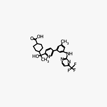 Cc1cc(Nc2nccc(C(F)(F)F)n2)cc(-c2ccc(C(C)(O)C3CCC(C(=O)O)CC3)nc2)c1